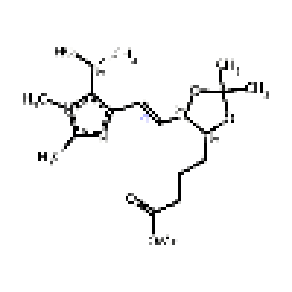 COC(=O)CCC[C@@H]1OC(C)(C)O[C@@H]1/C=C/c1nc(C)n(C)c1[C@@H](C)O